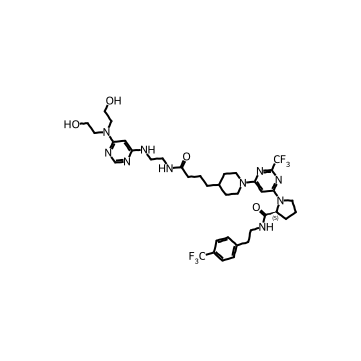 O=C(CCCC1CCN(c2cc(N3CCC[C@H]3C(=O)NCCc3ccc(C(F)(F)F)cc3)nc(C(F)(F)F)n2)CC1)NCCNc1cc(N(CCO)CCO)ncn1